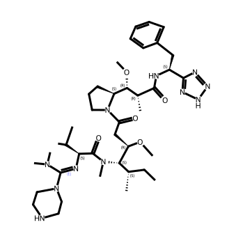 CC[C@H](C)[C@@H]([C@@H](CC(=O)N1CCC[C@H]1[C@H](OC)[C@@H](C)C(=O)N[C@@H](Cc1ccccc1)c1nn[nH]n1)OC)N(C)C(=O)[C@@H](/N=C(\N(C)C)N1CCNCC1)C(C)C